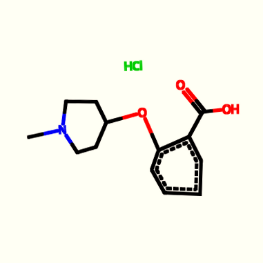 CN1CCC(Oc2ccccc2C(=O)O)CC1.Cl